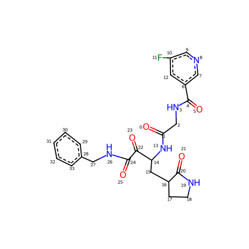 O=C(CNC(=O)c1cncc(F)c1)NC(CC1CCNC1=O)C(=O)C(=O)NCc1ccccc1